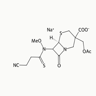 CON(C(=S)CCC#N)C1C(=O)N2CC(COC(C)=O)(C(=O)[O-])CS[C@H]12.[Na+]